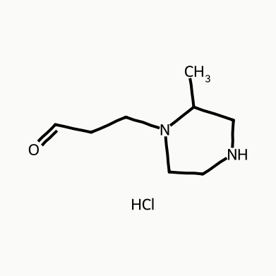 CC1CNCCN1CCC=O.Cl